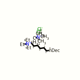 CCCCCCCCCCCCCCCC[N+](CC)(CC)CC.C[N+](C)(C)C.[Cl-].[Cl-]